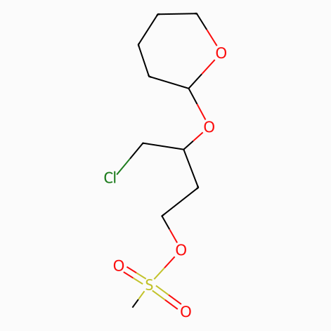 CS(=O)(=O)OCCC(CCl)OC1CCCCO1